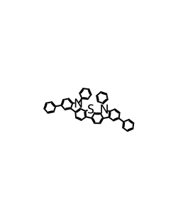 c1ccc(-c2ccc3c(c2)c2ccc4c5ccc6c7cc(-c8ccccc8)ccc7n(-c7ccccc7)c6c5sc4c2n3-c2ccccc2)cc1